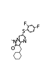 Cn1c(=O)c(CC2CCCCC2)c2ncc(Sc3ccc(F)cc3F)cn21